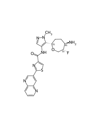 Cn1ncc(NC(=O)c2csc(-c3cnc4cccnc4c3)n2)c1[C@@H]1CC[C@@H](N)[C@H](F)CO1